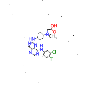 CN(CC(=O)O)C1CCC(Nc2ncc3ncnc(Nc4ccc(F)c(Cl)c4)c3n2)CC1